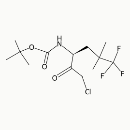 CC(C)(C)OC(=O)N[C@@H](CC(C)(C)C(F)(F)F)C(=O)CCl